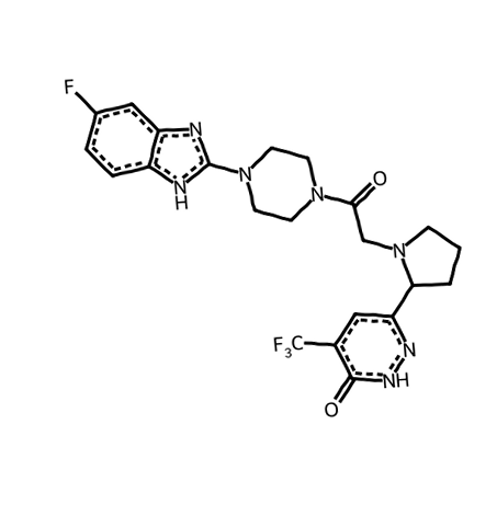 O=C(CN1CCCC1c1cc(C(F)(F)F)c(=O)[nH]n1)N1CCN(c2nc3cc(F)ccc3[nH]2)CC1